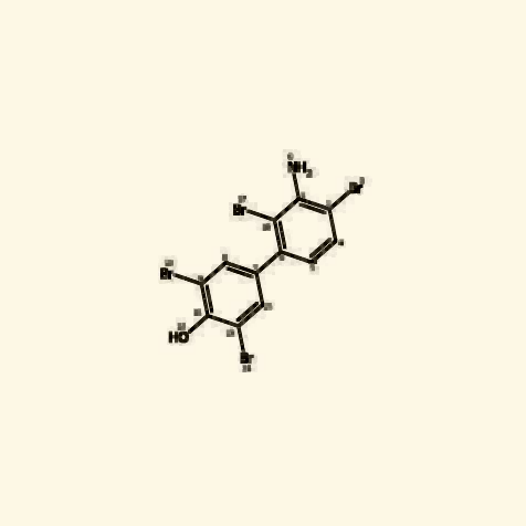 Nc1c(Br)c[c]c(-c2cc(Br)c(O)c(Br)c2)c1Br